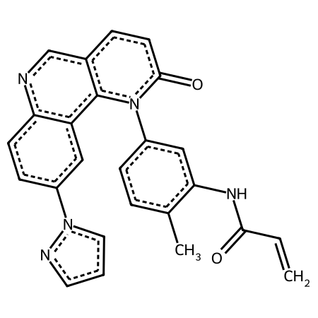 C=CC(=O)Nc1cc(-n2c(=O)ccc3cnc4ccc(-n5cccn5)cc4c32)ccc1C